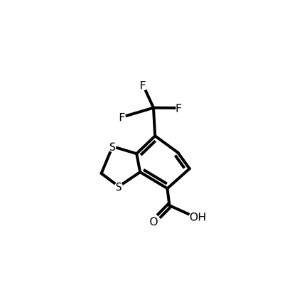 O=C(O)c1ccc(C(F)(F)F)c2c1SCS2